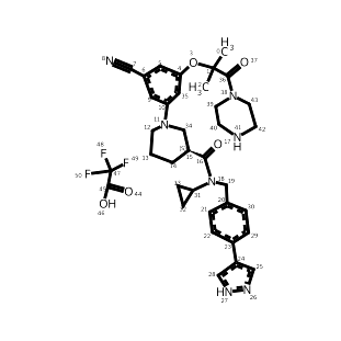 CC(C)(Oc1cc(C#N)cc(N2CCC[C@H](C(=O)N(Cc3ccc(-c4cn[nH]c4)cc3)C3CC3)C2)c1)C(=O)N1CCNCC1.O=C(O)C(F)(F)F